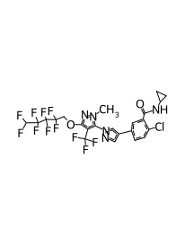 Cn1nc(OCC(F)(F)C(F)(F)C(F)(F)C(F)F)c(C(F)(F)F)c1-n1cc(-c2ccc(Cl)c(C(=O)NC3CC3)c2)cn1